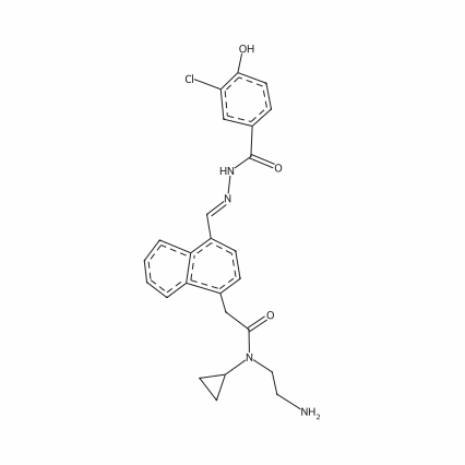 NCCN(C(=O)Cc1ccc(/C=N/NC(=O)c2ccc(O)c(Cl)c2)c2ccccc12)C1CC1